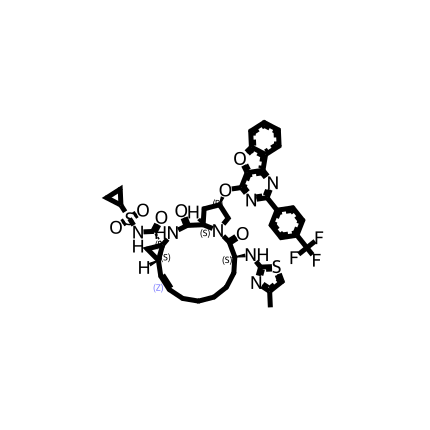 Cc1csc(N[C@H]2CCCCC/C=C\[C@@H]3C[C@@]3(C(=O)NS(=O)(=O)C3CC3)NC(=O)[C@@H]3C[C@@H](Oc4nc(-c5ccc(C(F)(F)F)cc5)nc5c4oc4ccccc45)CN3C2=O)n1